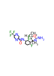 CC1(C)OC(N)=N[C@](C)(c2cc(NC(=O)c3cnc(C(F)(F)F)cn3)ccc2F)C1(F)F